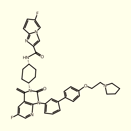 C=C1c2cc(F)cnc2N(c2cccc(-c3ccc(OCCN4CCCC4)cc3)c2)C(=O)N1[C@H]1CC[C@@H](NC(=O)c2cn3cc(F)ccc3n2)CC1